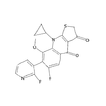 COc1c(-c2cccnc2F)c(F)cc2c(=O)c3c(n(C4CC4)c12)SCC3=O